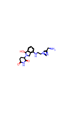 NCc1cn(CCNc2cccc3c2CN(C2CCC(=O)NC2=O)C3O)cn1